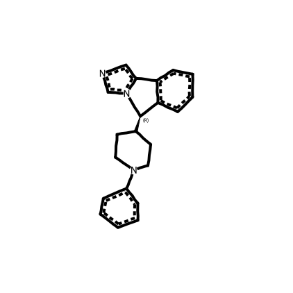 c1ccc(N2CCC([C@@H]3c4ccccc4-c4cncn43)CC2)cc1